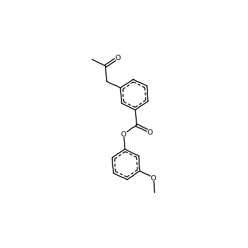 COc1cccc(OC(=O)c2cccc(CC(C)=O)c2)c1